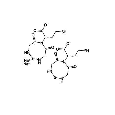 O=C([O-])[C@H](CCS)N1C(=O)CNSNCC1=O.O=C([O-])[C@H](CCS)N1C(=O)CNSNCC1=O.[Na+].[Na+]